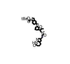 Cc1oc2c(Oc3ccc4c(c3)CCN4C(=O)OC(C)(C)C)cccc2c1CN(C)C(=O)/C=C/c1cnc2c(c1)CCCC(=O)N2